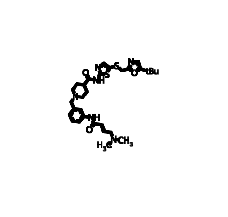 CN(C)CC=CC(=O)Nc1cccc(CN2CCC(C(=O)Nc3ncc(SCc4ncc(C(C)(C)C)o4)s3)CC2)c1